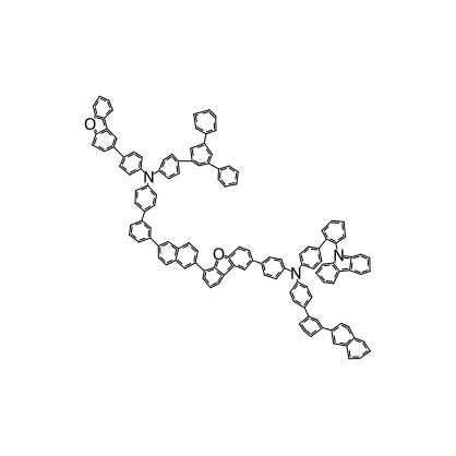 c1ccc(-c2cc(-c3ccccc3)cc(-c3ccc(N(c4ccc(-c5cccc(-c6ccc7cc(-c8cccc9c8oc8ccc(-c%10ccc(N(c%11ccc(-c%12cccc(-c%13ccc%14ccccc%14c%13)c%12)cc%11)c%11ccc(-c%12ccccc%12-n%12c%13ccccc%13c%13ccccc%13%12)cc%11)cc%10)cc89)ccc7c6)c5)cc4)c4ccc(-c5ccc6oc7ccccc7c6c5)cc4)cc3)c2)cc1